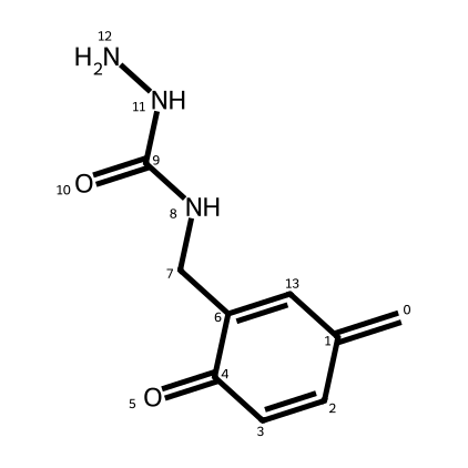 C=C1C=CC(=O)C(CNC(=O)NN)=C1